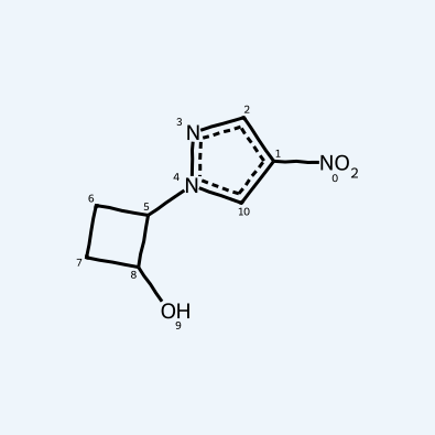 O=[N+]([O-])c1cnn(C2CCC2O)c1